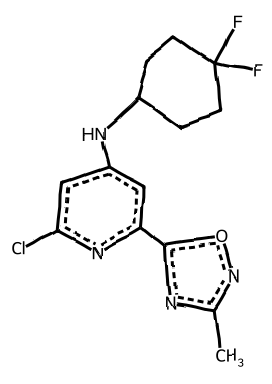 Cc1noc(-c2cc(NC3CCC(F)(F)CC3)cc(Cl)n2)n1